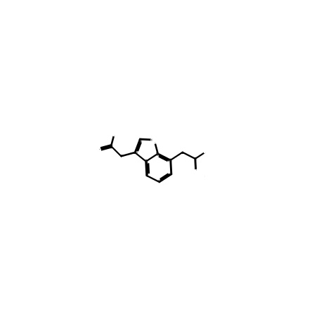 CC(C)Cc1cccc2c(CC(=O)Cl)coc12